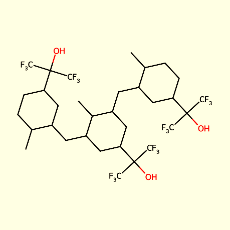 CC1CCC(C(O)(C(F)(F)F)C(F)(F)F)CC1CC1CC(C(O)(C(F)(F)F)C(F)(F)F)CC(CC2CC(C(O)(C(F)(F)F)C(F)(F)F)CCC2C)C1C